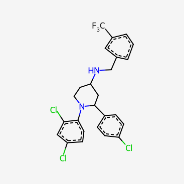 FC(F)(F)c1cccc(CNC2CCN(c3ccc(Cl)cc3Cl)C(c3ccc(Cl)cc3)C2)c1